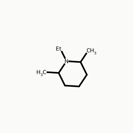 CCN1C(C)CCCC1C